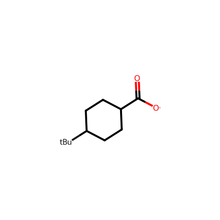 CC(C)(C)C1CCC(C([O])=O)CC1